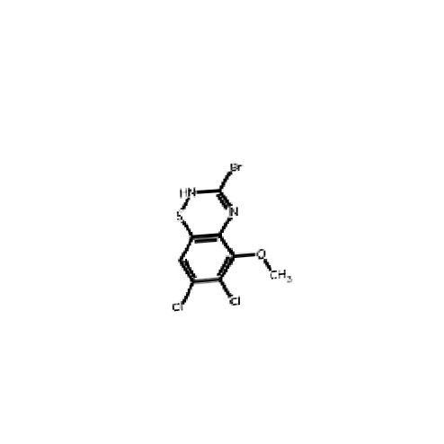 COc1c(Cl)c(Cl)cc2c1N=C(Br)NS2